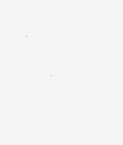 NC(=O)COCCn1cc2cc(N)c(-c3ccsc3)cc2n1